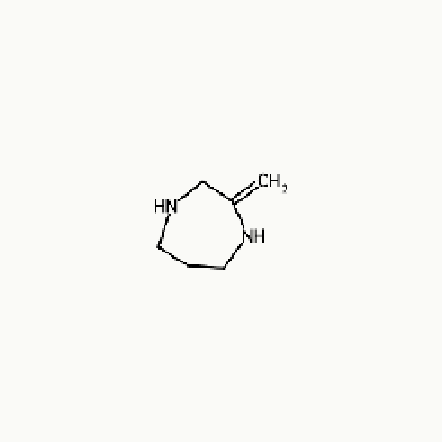 C=C1CNCCCN1